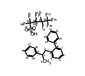 CC(Cc1ccccc1-c1ccccc1)c1ccccc1.O=S(=O)(O)C(F)(F)C(F)(F)C(F)(F)C(F)(F)F